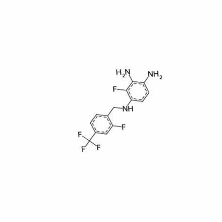 Nc1ccc(NCc2ccc(C(F)(F)F)cc2F)c(F)c1N